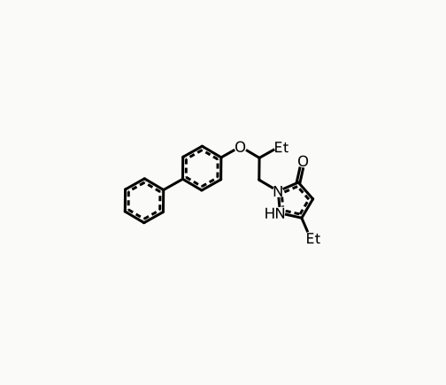 CCc1cc(=O)n(CC(CC)Oc2ccc(-c3ccccc3)cc2)[nH]1